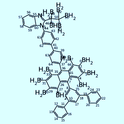 Bc1c(B)c(B)c2c(-c3cc(-c4ccccc4)cc(-c4ccccc4)c3)c3c(B)c(B)c(B)c(B)c3c(-c3ccc(-c4ccc(-n5c(C(B)(B)C(B)(B)B)nc6ccccc65)cc4)cc3)c2c1B